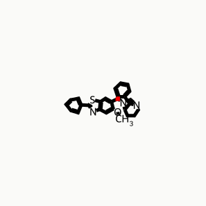 COc1cc2nc(-c3ccccc3)sc2cc1CN1CN2CCCC1C2c1ccccc1